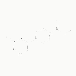 COC(=O)c1ccc(C2=CC(=O)C=NC2)cc1